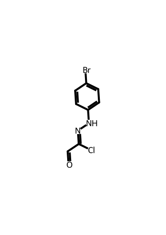 O=C/C(Cl)=N/Nc1ccc(Br)cc1